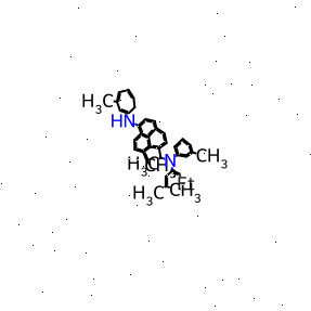 C/C=c1/ccc2c(NC3=CC(C)=CC=CC3)ccc3ccc(C(C)N(/C(C=C(C)C)=C/CC)c4cccc(C)c4)c1c32